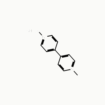 CCCCCCC[n+]1ccc(-c2cc[n+](C)cc2)cc1